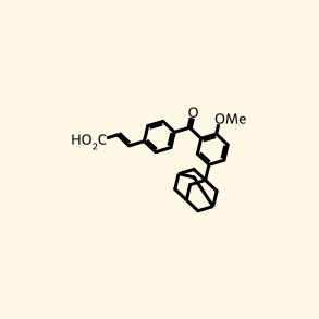 COc1ccc(C23CC4CC(CC(C4)C2)C3)cc1C(=O)c1ccc(C=CC(=O)O)cc1